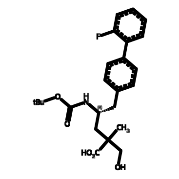 CC(C)(C)OC(=O)N[C@H](Cc1ccc(-c2ccccc2F)cc1)CC(C)(CO)C(=O)O